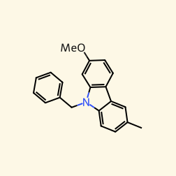 COc1ccc2c3cc(C)ccc3n(Cc3ccccc3)c2c1